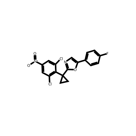 O=[N+]([O-])c1cc(Cl)c(C2(c3ncc(-c4ccc(F)cc4)o3)CC2)c(Cl)c1